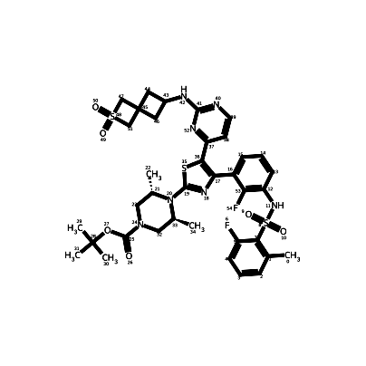 Cc1cccc(F)c1S(=O)(=O)Nc1cccc(-c2nc(N3[C@@H](C)CN(C(=O)OC(C)(C)C)C[C@@H]3C)sc2-c2ccnc(NC3CC4(C3)CS(=O)(=O)C4)n2)c1F